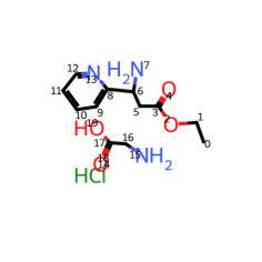 CCOC(=O)CC(N)c1ccccn1.Cl.NCC(=O)O